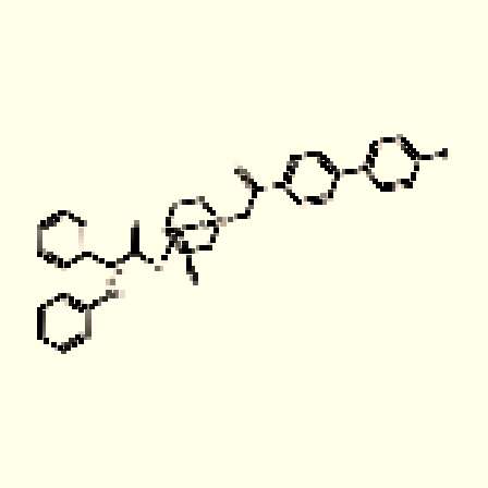 O=C(C[N+]12CCC(CC1)[C@@H](OC(=O)[C@H](Nc1ccccc1)c1ccccc1)C2)c1ccc(-c2ccc(F)cc2)cc1